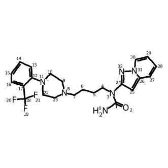 NC(=O)N(CCCCN1CCN(c2ccccc2C(F)(F)F)CC1)c1cc2ccccn2n1